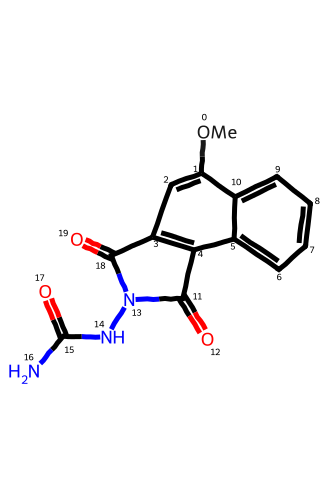 COc1cc2c(c3ccccc13)C(=O)N(NC(N)=O)C2=O